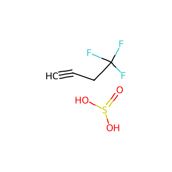 C#CCC(F)(F)F.O=S(O)O